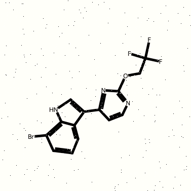 FC(F)(F)COc1nccc(-c2c[nH]c3c(Br)cccc23)n1